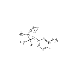 CC(F)(C(=O)O)[C@H](c1cccc(N)c1)C1CC1